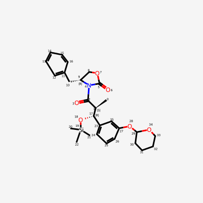 C[C@H](C(=O)N1C(=O)OC[C@H]1Cc1ccccc1)[C@@H](O[Si](C)(C)C)c1cccc(OC2CCCCO2)c1